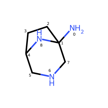 NC12CCC(CNC1)N2